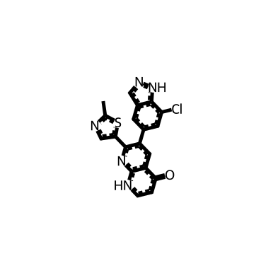 Cc1ncc(-c2nc3[nH]ccc(=O)c3cc2-c2cc(Cl)c3[nH]ncc3c2)s1